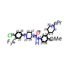 CCCN1CCC(c2cc(NC(=O)N3CCN(c4ccc(Cl)c(C(F)(F)F)c4)CC3)ccc2OC)CC1